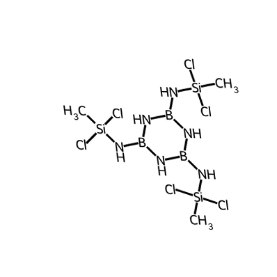 C[Si](Cl)(Cl)NB1NB(N[Si](C)(Cl)Cl)NB(N[Si](C)(Cl)Cl)N1